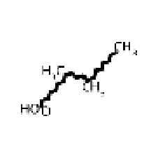 CCCCCC=CCC(C)=CCC=C(C)CCCCCCC(=O)O